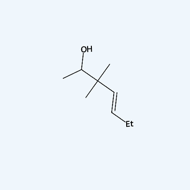 CC/C=C/C(C)(C)C(C)O